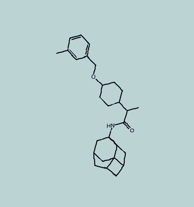 Cc1cccc(COC2CCC(C(C)C(=O)NC34CC5CC6CC(C3)C6(C5)C4)CC2)c1